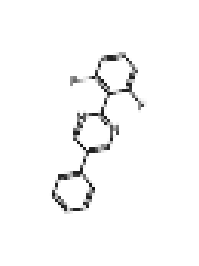 Fc1cccc(F)c1-c1ncc(-c2ccccc2)cn1